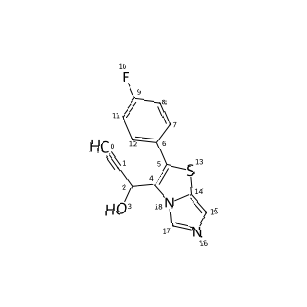 C#CC(O)c1c(-c2ccc(F)cc2)sc2cncn12